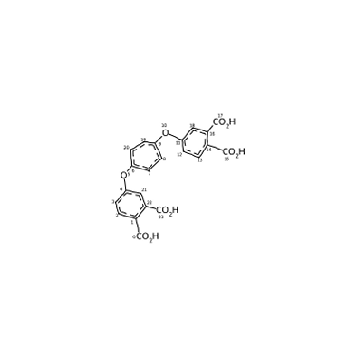 O=C(O)c1ccc(Oc2ccc(Oc3ccc(C(=O)O)c(C(=O)O)c3)cc2)cc1C(=O)O